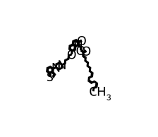 CC/C=C\C/C=C\C/C=C\CCCCCC=CC(=O)OCn1c(=O)ccc2ccc(OCCCCN3CCN(c4cccc5sccc45)CC3)cc21